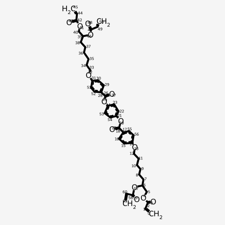 C=CC(=O)OCC(CCCCCCOc1ccc(C(=O)Oc2ccc(OC(=O)c3ccc(OCCCCCCC(COC(=O)C=C)OC(=O)C=C)cc3)cc2)cc1)OC(=O)C=C